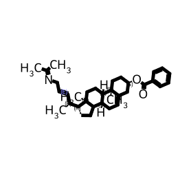 CC(C)=NC/C=C/[C@@H](C)[C@H]1CCC2[C@@H]3CC=C4C[C@@H](OC(=O)c5ccccc5)CC[C@]4(C)[C@H]3CC[C@@]21C